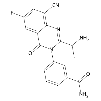 CC(N)c1nc2c(C#N)cc(F)cc2c(=O)n1-c1cccc(C(N)=O)c1